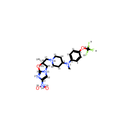 CN(c1ccc(OC(F)(F)F)cc1)C1CCN(C[C@@]2(C)Cn3cc([N+](=O)[O-])nc3O2)CC1